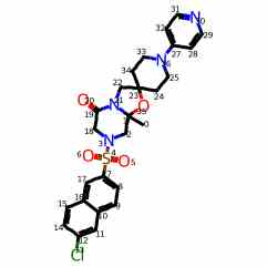 CC12CN(S(=O)(=O)c3ccc4cc(Cl)ccc4c3)CC(=O)N1CC1(CCN(c3ccncc3)CC1)O2